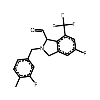 Cc1ccc(CN2Cc3cc(F)cc(C(F)(F)F)c3C2C=O)cc1F